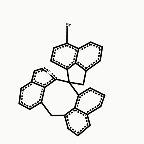 Brc1ccc2c3c(cccc13)CC21c2cccc3cccc(c23)Cc2cccc3cccc1c23